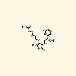 O=C(O)CCCC=CC[C@H]1[C@@H](O)CC(=O)[C@@H]1C=C[C@@H](O)c1ccccn1